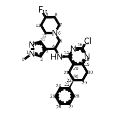 Cn1cc(C(CN2CCC(F)CC2)Nc2nc(Cl)nc3c2C[C@H](c2ccccc2)CC3)cn1